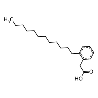 CCCCCCCCCCCCc1ccccc1CC(=O)O